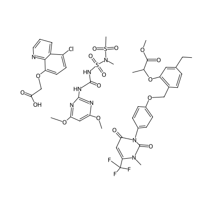 CCc1ccc(COc2ccc(-n3c(=O)cc(C(F)(F)F)n(C)c3=O)cc2)c(OC(C)C(=O)OC)c1.COc1cc(OC)nc(NC(=O)NS(=O)(=O)N(C)S(C)(=O)=O)n1.O=C(O)COc1ccc(Cl)c2cccnc12